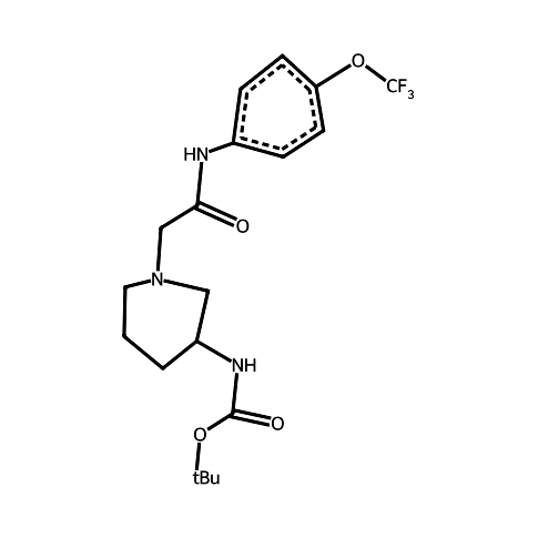 CC(C)(C)OC(=O)NC1CCCN(CC(=O)Nc2ccc(OC(F)(F)F)cc2)C1